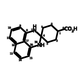 O=C(O)C1CCC2(CC1)Nc1cccc3cccc(c13)N2